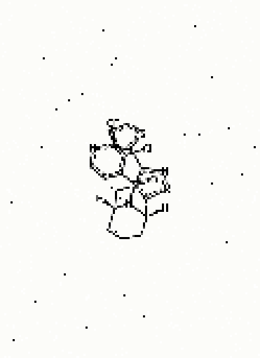 O=C(c1ccnc(C(F)(F)F)c1Cl)N1[C@@H]2CCC[C@H]1c1nnc(-c3cccs3)n1C2